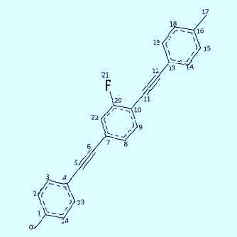 Cc1ccc(C#Cc2ccc(C#Cc3ccc(C)cc3)c(F)c2)cc1